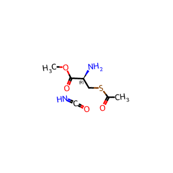 COC(=O)[C@@H](N)CSC(C)=O.N=C=O